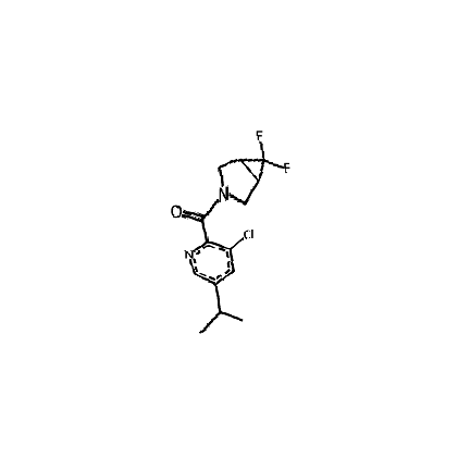 CC(C)c1cnc(C(=O)N2CC3C(C2)C3(F)F)c(Cl)c1